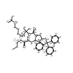 CC[C@H](C)[C@H](NCCCOC(C)C)C(=O)NCC1CC(SC(c2ccccc2)(c2ccccc2)c2ccccc2)CN1C(=O)OC(C)(C)C